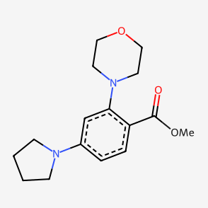 COC(=O)c1ccc(N2CCCC2)cc1N1CCOCC1